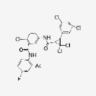 CC(=O)c1cc(F)ccc1NC(=O)c1cc(NC(=O)C2C(c3cc(Cl)cc(Cl)c3)C2(Cl)Cl)ccc1Cl